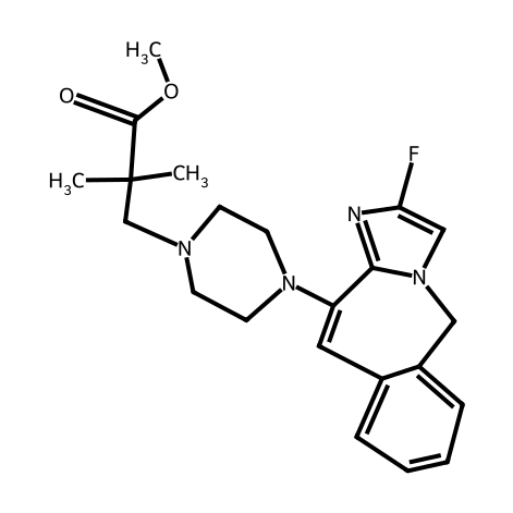 COC(=O)C(C)(C)CN1CCN(C2=Cc3ccccc3Cn3cc(F)nc32)CC1